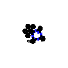 [Cu].c1ccc(-c2c(-c3ccccc3)c(-c3ccccc3)c3c4nc5nc(nc6[nH]c(nc7nc(nc([nH]4)c3c2-c2ccccc2)-c2ccccc2-7)c2ccccc62)-c2ccccc2-5)cc1